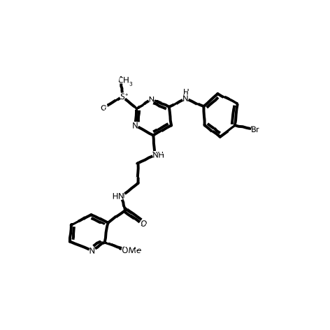 COc1ncccc1C(=O)NCCNc1cc(Nc2ccc(Br)cc2)nc([S+](C)[O-])n1